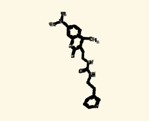 CCN(CC)c1ccc2c(C)c(CCNC(=O)NCCc3cccnc3)c(=O)oc2c1